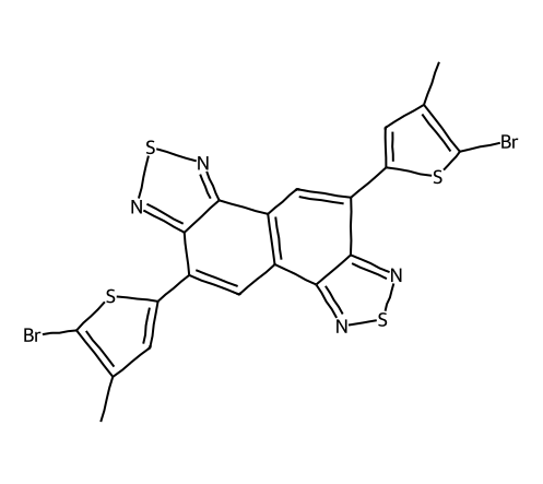 Cc1cc(-c2cc3c(cc(-c4cc(C)c(Br)s4)c4nsnc43)c3nsnc23)sc1Br